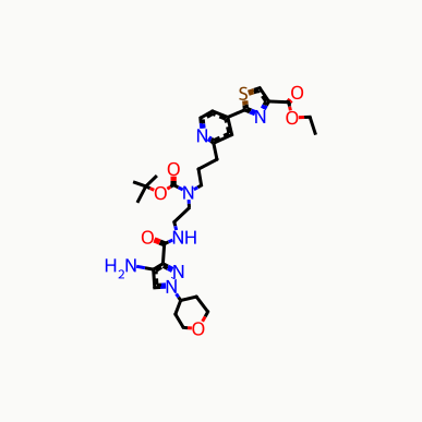 CCOC(=O)c1csc(-c2ccnc(CCCN(CCNC(=O)c3nn(C4CCOCC4)cc3N)C(=O)OC(C)(C)C)c2)n1